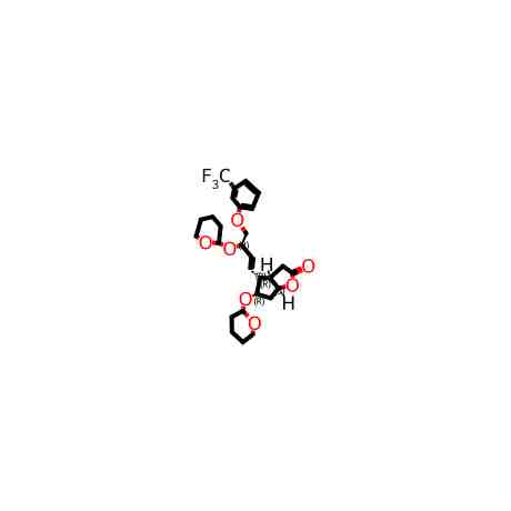 O=C1C[C@@H]2[C@@H](C=C[C@H](COc3cccc(C(F)(F)F)c3)OC3CCCCO3)[C@H](OC3CCCCO3)C[C@@H]2O1